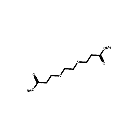 COC(=O)CCSCCSCCC(=O)OC